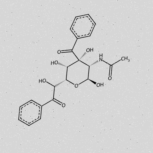 CC(=O)N[C@@H]1[C@@H](O)O[C@H](C(O)C(=O)c2ccccc2)[C@H](O)[C@@]1(O)C(=O)c1ccccc1